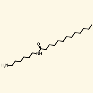 CCCCCCCCCCCCC(=O)NCCCCCCN